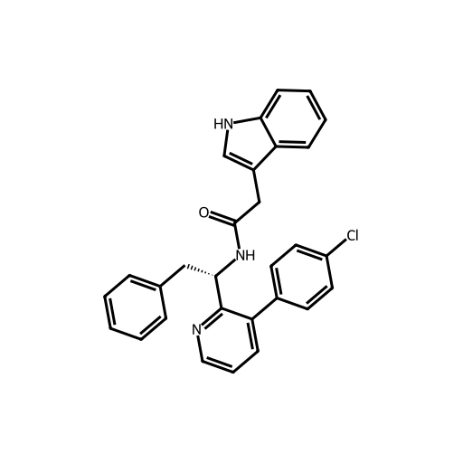 O=C(Cc1c[nH]c2ccccc12)N[C@@H](Cc1ccccc1)c1ncccc1-c1ccc(Cl)cc1